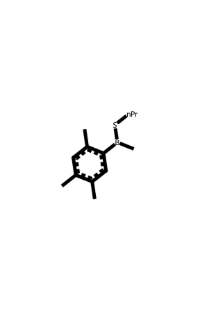 CCCSB(C)c1cc(C)c(C)cc1C